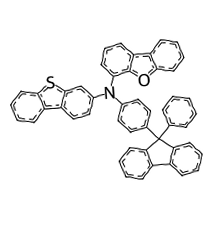 c1ccc(C2(c3ccc(N(c4ccc5c(c4)sc4ccccc45)c4cccc5c4oc4ccccc45)cc3)c3ccccc3-c3ccccc32)cc1